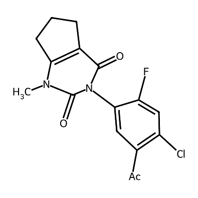 CC(=O)c1cc(-n2c(=O)c3c(n(C)c2=O)CCC3)c(F)cc1Cl